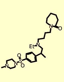 CCN(CCCCN1CCCCCC1=O)CC(C)c1ccc(S(=O)(=O)N2CCN(C)CC2)cc1